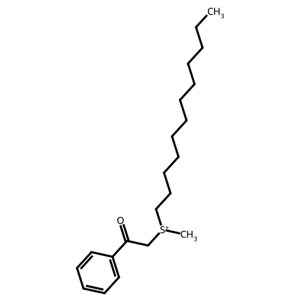 CCCCCCCCCCCC[S+](C)CC(=O)c1ccccc1